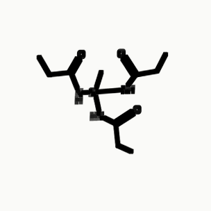 CCC(=O)N[Si](C)(NC(=O)CC)NC(=O)CC